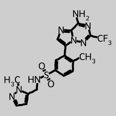 Cc1ccc(S(=O)(=O)NCc2ccnn2C)cc1-c1cnc2c(N)nc(C(F)(F)F)nn12